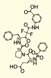 O=C(O)CC[C@H](NS(=O)(=O)c1ccccc1)C(=O)N1CCC[C@H]1C(=O)N[C@@H](Cc1ccccc1)C(=O)C(F)(F)C(=O)Nc1cccc(C(=O)O)c1